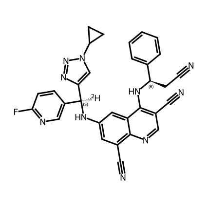 [2H][C@](Nc1cc(C#N)c2ncc(C#N)c(N[C@H](CC#N)c3ccccc3)c2c1)(c1ccc(F)nc1)c1cn(C2CC2)nn1